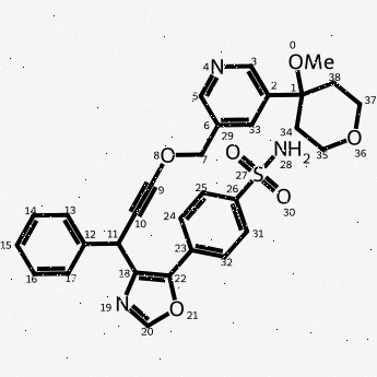 COC1(c2cncc(COC#CC(c3ccccc3)c3ncoc3-c3ccc(S(N)(=O)=O)cc3)c2)CCOCC1